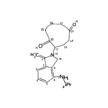 C=C1c2cccc(NC(C)C)c2CN1C1CCC(=O)CCCC1=O